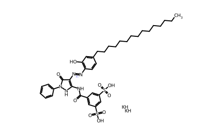 CCCCCCCCCCCCCCCc1ccc(/N=N/c2c(NC(=O)c3cc(S(=O)(=O)O)cc(S(=O)(=O)O)c3)[nH]n(-c3ccccc3)c2=O)c(O)c1.[KH].[KH]